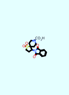 O=C(O)N1CCC2(CC1)C(N1C(=O)c3ccccc3C1=O)CCS2(=O)=O